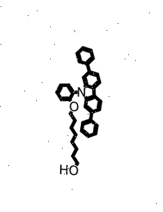 OCCCCCCCCOc1ccccc1-n1c2cc(-c3ccccc3)ccc2c2ccc(-c3ccccc3)cc21